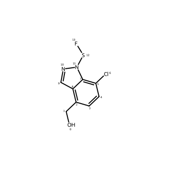 OCc1ccc(Cl)c2c1cnn2SF